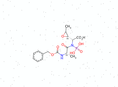 CC1O[C@H]1C(C(=O)O)N(C(=O)[C@H](C)NC(=O)OCc1ccccc1)P(=O)(O)O